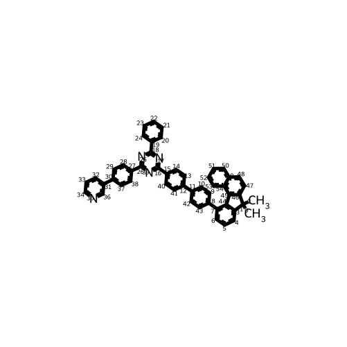 CC1(C)c2cccc(-c3ccc(-c4ccc(-c5nc(-c6ccccc6)nc(-c6ccc(-c7cccnc7)cc6)n5)cc4)cc3)c2-c2c1ccc1ccccc21